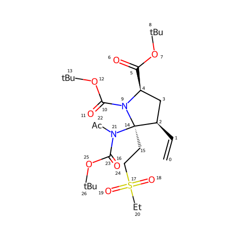 C=C[C@@H]1C[C@H](C(=O)OC(C)(C)C)N(C(=O)OC(C)(C)C)[C@]1(CCS(=O)(=O)CC)N(C(C)=O)C(=O)OC(C)(C)C